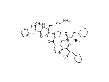 CN[C@@H](Cc1ccccc1)C(=O)N[C@@H](CCCCN)C(=O)N1CCC[C@H]1C(=O)c1ccnc(C(=O)[C@H](N)CC2CCCCC2)c1CNC(=O)[C@@H](N)CC1CCCCC1